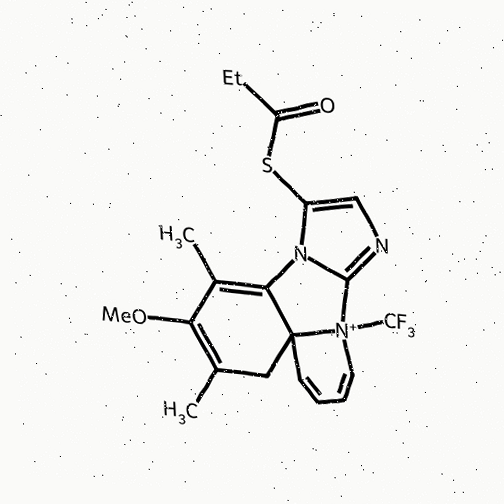 CCC(=O)Sc1cnc2n1C1=C(C)C(OC)=C(C)CC13C=CC=C[N+]23C(F)(F)F